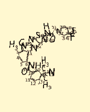 CN(c1cccc(NC(=O)c2cccc(C(C)(C)C#N)c2)c1)c1ncc2nc(NC(=O)CN3CCC(F)(F)CC3)sc2n1